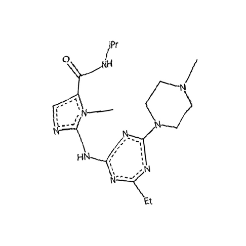 CCc1nc(Nc2ncc(C(=O)NC(C)C)n2C)nc(N2CCN(C)CC2)n1